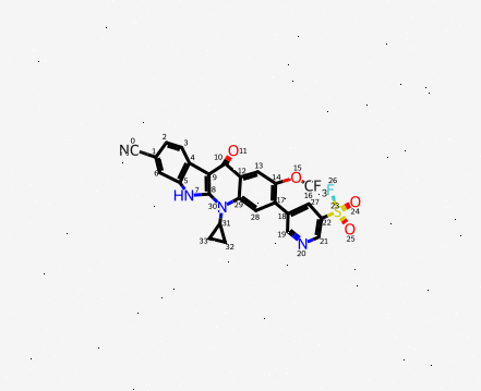 N#Cc1ccc2c(c1)[nH]c1c2c(=O)c2cc(OC(F)(F)F)c(-c3cncc(S(=O)(=O)F)c3)cc2n1C1CC1